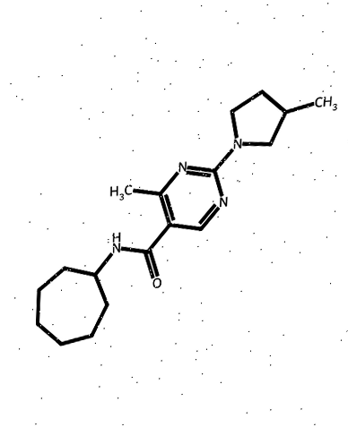 Cc1nc(N2CCC(C)C2)ncc1C(=O)NC1CCCCCC1